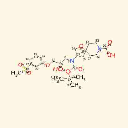 CC(C)(C)OC(=O)N(CC(O)COc1cccc(S(C)(=O)=O)c1)C1COC2(CCN(C(=O)O)CC2)C1